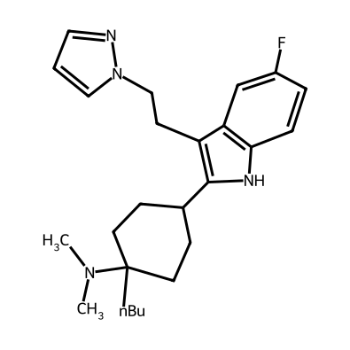 CCCCC1(N(C)C)CCC(c2[nH]c3ccc(F)cc3c2CCn2cccn2)CC1